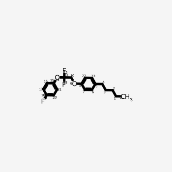 CCCCCc1ccc(OCC(F)(F)Oc2ccc(F)cc2)cc1